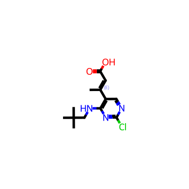 C/C(=C\C(=O)O)c1cnc(Cl)nc1NCC(C)(C)C